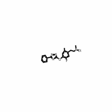 CCN(C)CCc1cc(F)c(Oc2nc(-c3ccccc3)ns2)cc1C